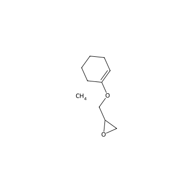 C.C1=C(OCC2CO2)CCCC1